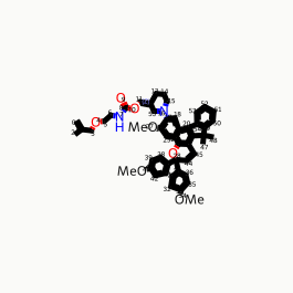 C=C(C)COCCNC(=O)O/C=C1/CCCN(c2cc3c4c(c5c(c3cc2OC)OC(c2ccc(OC)cc2)(c2ccc(OC)cc2)C=C5)C(C)(C)c2ccccc2-4)C1